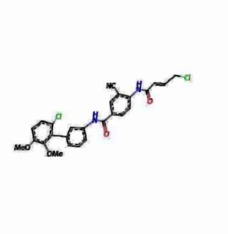 COc1ccc(Cl)c(-c2cccc(NC(=O)c3ccc(NC(=O)C=CCCl)c(C#N)c3)c2)c1OC